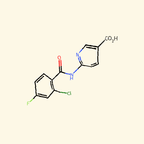 O=C(O)c1ccc(NC(=O)c2ccc(F)cc2Cl)nc1